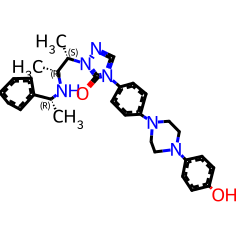 C[C@@H](N[C@H](C)[C@H](C)n1ncn(-c2ccc(N3CCN(c4ccc(O)cc4)CC3)cc2)c1=O)c1ccccc1